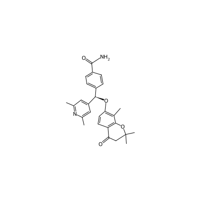 Cc1cc([C@H](Oc2ccc3c(c2C)OC(C)(C)CC3=O)c2ccc(C(N)=O)cc2)cc(C)n1